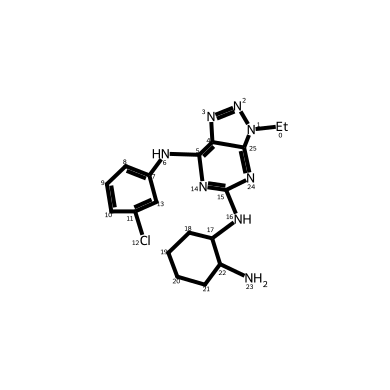 CCn1nnc2c(Nc3cccc(Cl)c3)nc(NC3CCCCC3N)nc21